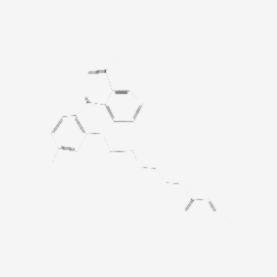 C=CC(=O)OCCOCCOc1cc(Cl)ccc1C(=O)c1ccccc1C(=O)O